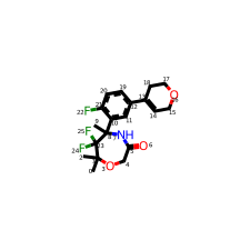 CC1(C)OCC(=O)NC(C)(c2cc(C3=CCOCC3)ccc2F)C1(F)F